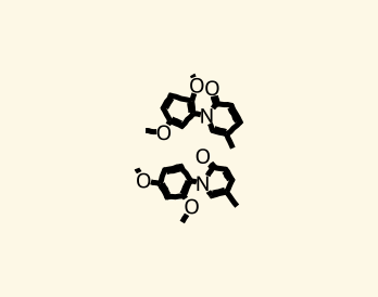 COc1ccc(-n2cc(C)ccc2=O)c(OC)c1.COc1ccc(OC)c(-n2cc(C)ccc2=O)c1